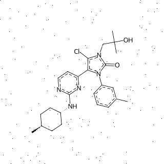 Cc1cccc(-n2c(-c3ccnc(N[C@H]4CC[C@H](C)CC4)n3)c(Cl)n(CC(C)(C)O)c2=O)c1